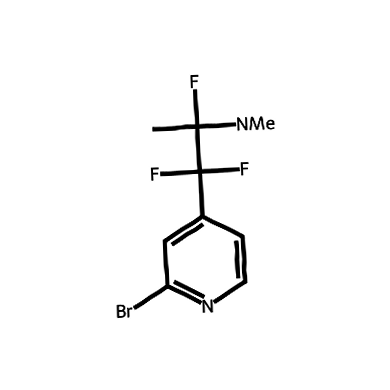 CNC(C)(F)C(F)(F)c1ccnc(Br)c1